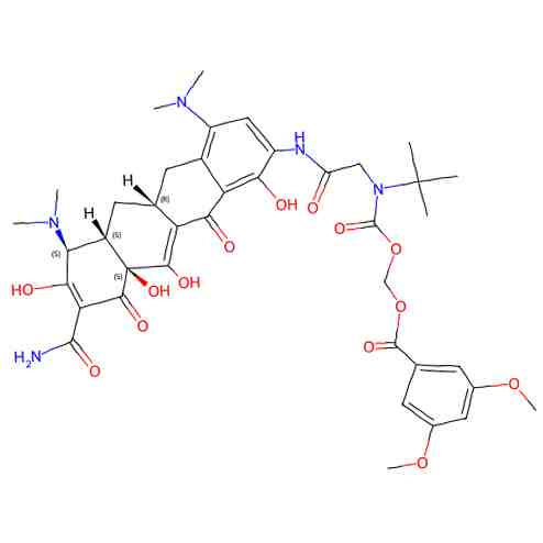 COc1cc(OC)cc(C(=O)OCOC(=O)N(CC(=O)Nc2cc(N(C)C)c3c(c2O)C(=O)C2=C(O)[C@]4(O)C(=O)C(C(N)=O)=C(O)[C@@H](N(C)C)[C@@H]4C[C@@H]2C3)C(C)(C)C)c1